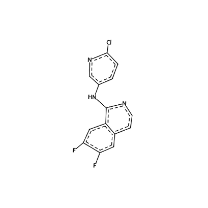 Fc1cc2ccnc(Nc3ccc(Cl)nc3)c2cc1F